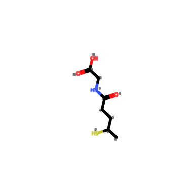 CC(S)CCC(=O)NCC(=O)O